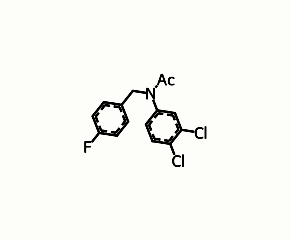 CC(=O)N(Cc1ccc(F)cc1)c1ccc(Cl)c(Cl)c1